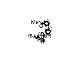 CNC(=O)c1cccc(Oc2ccc(NC(=O)Nc3[nH]nc(C(C)(C)C)c3C(=O)O)cc2)c1